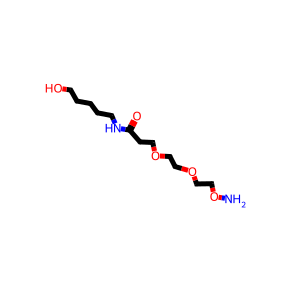 NOCCOCCOCCC(=O)NCCCCCO